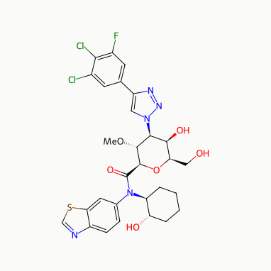 CO[C@@H]1[C@@H](n2cc(-c3cc(F)c(Cl)c(Cl)c3)nn2)[C@@H](O)[C@@H](CO)O[C@H]1C(=O)N(c1ccc2ncsc2c1)[C@H]1CCCC[C@@H]1O